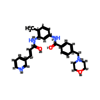 Cc1ccc(NC(=O)c2ccc(CN3CCOCC3)cc2)cc1NC(=O)/C=C/c1cccnc1